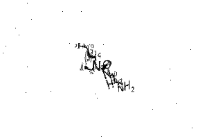 C[C@@H](I)[C@H]1CCN(C(=O)NCCCN)C1